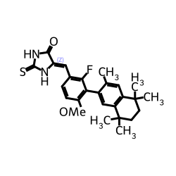 COc1ccc(/C=C2\NC(=S)NC2=O)c(F)c1-c1cc2c(cc1C)C(C)(C)CCC2(C)C